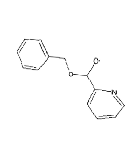 [O]C(OCc1ccccc1)c1ccccn1